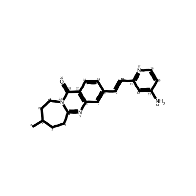 CC1CCc2nc3cc(/C=C/c4cc(N)ccn4)ccc3c(=O)n2CC1